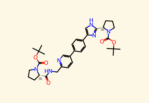 CC(C)(C)OC(=O)N1CCC[C@H]1C(=O)NCc1ccc(-c2ccc(-c3c[nH]c([C@@H]4CCCN4C(=O)OC(C)(C)C)n3)cc2)cn1